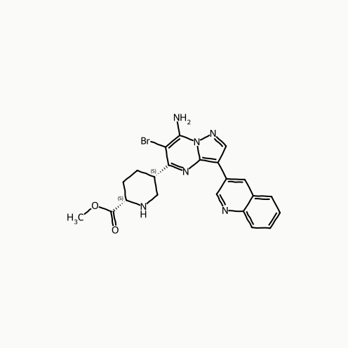 COC(=O)[C@@H]1CC[C@H](c2nc3c(-c4cnc5ccccc5c4)cnn3c(N)c2Br)CN1